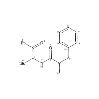 CCC(=O)C(NC(=O)C(C)Cc1ccccc1)C(C)(C)C